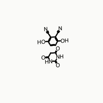 N#Cc1c(O)ccc(O)c1C#N.O=C1CC(=O)NC(=O)N1